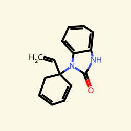 C=CC1(n2c(=O)[nH]c3ccccc32)C=CC=CC1